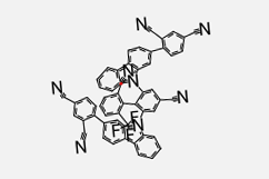 N#Cc1ccc(-c2ccc3c4ccccc4n(-c4cc(C#N)cc(-n5c6ccccc6c6ccc(-c7ccc(C#N)cc7C#N)cc65)c4-c4c(C#N)cccc4C(F)(F)F)c3c2)c(C#N)c1